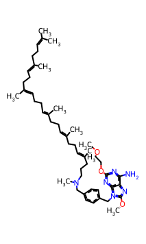 COCCOc1nc(N)c2nc(OC)n(Cc3ccc(CN(C)CCC/C(C)=C/CC/C(C)=C/CC/C(C)=C/CC/C=C(\C)CC/C=C(\C)CCC=C(C)C)cc3)c2n1